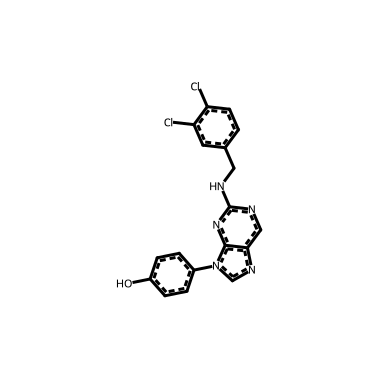 Oc1ccc(-n2cnc3cnc(NCc4ccc(Cl)c(Cl)c4)nc32)cc1